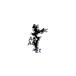 C=CC(C)(CCC(SC(C)=O)C(C)CCCC(C)(CC/C=C(\C)CC)SC(C)=O)CC(C)(CCSC(C)=O)CC(C)(C)C(C)SC(C)=O